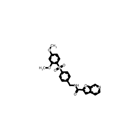 COc1ccc(S(=O)(=O)c2ccc(CNC(=O)c3cc4ccncc4o3)cc2)c(OC)c1